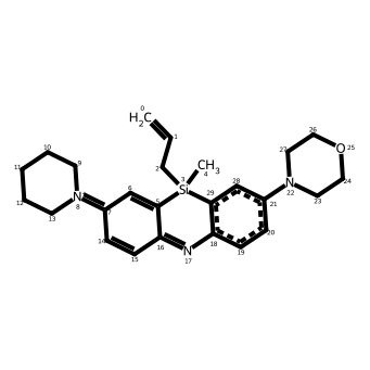 C=CC[Si]1(C)C2=CC(=[N+]3CCCCC3)C=CC2=Nc2ccc(N3CCOCC3)cc21